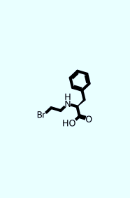 O=C(O)[C@H](Cc1ccccc1)NCCBr